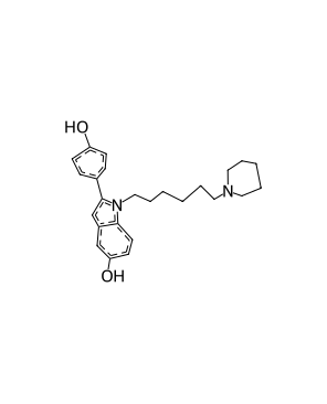 Oc1ccc(-c2cc3cc(O)ccc3n2CCCCCCN2CCCCC2)cc1